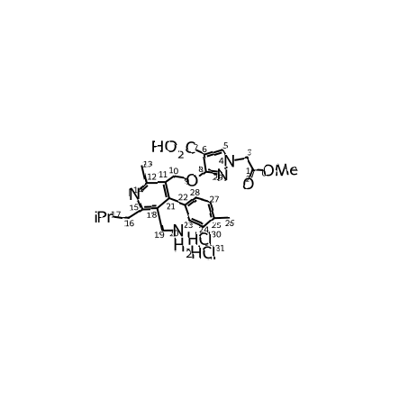 COC(=O)Cn1cc(C(=O)O)c(OCc2c(C)nc(CC(C)C)c(CN)c2-c2ccc(C)cc2)n1.Cl.Cl